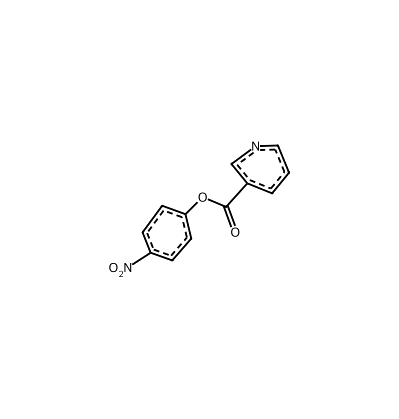 O=C(Oc1ccc([N+](=O)[O-])cc1)c1cccnc1